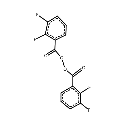 O=C(OOC(=O)c1cccc(F)c1F)c1cccc(F)c1F